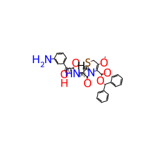 COC1=C(C(=O)OC(c2ccccc2)c2ccccc2)N2C(=O)[C@@H](NC(=O)[C@H](O)c3cccc(N)c3)[C@H]2SC1